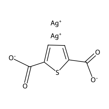 O=C([O-])c1ccc(C(=O)[O-])s1.[Ag+].[Ag+]